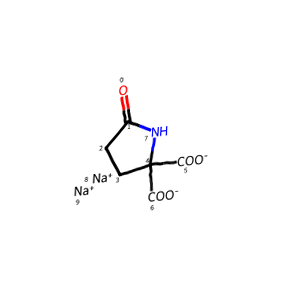 O=C1CCC(C(=O)[O-])(C(=O)[O-])N1.[Na+].[Na+]